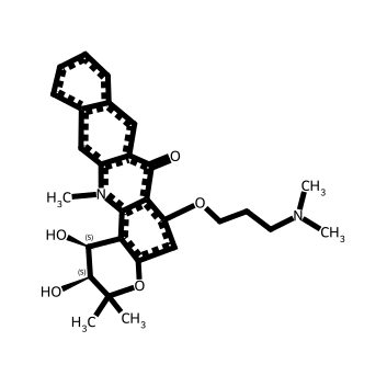 CN(C)CCCOc1cc2c(c3c1c(=O)c1cc4ccccc4cc1n3C)[C@H](O)[C@H](O)C(C)(C)O2